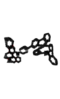 c1ccc(-c2cccc(-c3ccccc3N(c3ccc(-c4ccc5c(c4)C4(c6ccccc6-5)c5ccccc5-n5c6ccccc6c6cccc4c65)cc3)c3ccccc3-c3ccccc3)c2)cc1